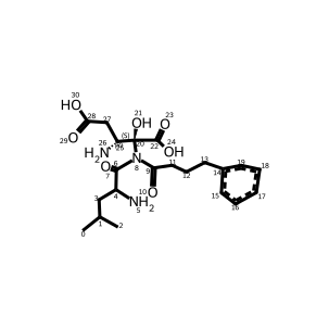 CC(C)CC(N)C(=O)N(C(=O)CCCc1ccccc1)[C@@](O)(C(=O)O)[C@H](N)CC(=O)O